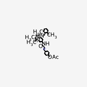 CC(=O)Oc1ccc(/C=C/C(=O)Nc2cc(NCc3c(C)cccc3C)c3nc(C)c(C)n3c2)cc1